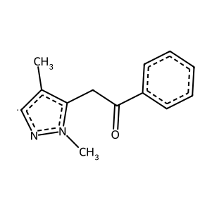 Cc1[c]nn(C)c1CC(=O)c1ccccc1